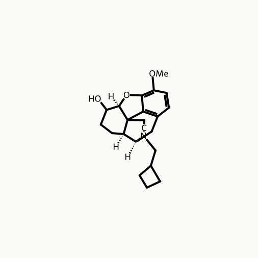 COc1ccc2c3c1O[C@@H]1C(O)CC[C@@H]4[C@H](C2)N(CC2CCC2)CCC314